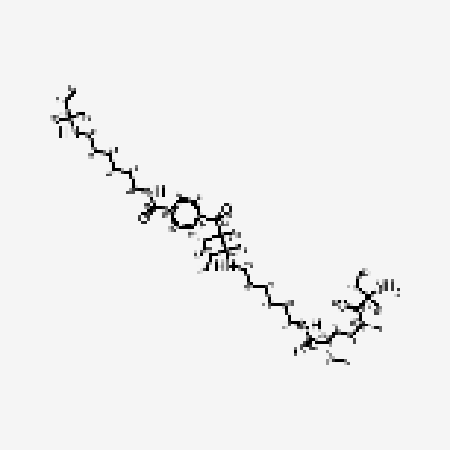 CC[C@@H](CC[C@H](C)C(=O)C(C)(N)CC)C(=O)NCCCCCCNC(C)(CC)C(C)(CC)C(=O)c1ccc(C(=O)NCCCCCCNC(C)(C)CC)cc1